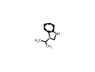 CC(C)N1[CH]Nc2ccccc21